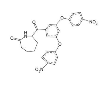 O=C1CCCCC(C(=O)c2cc(Oc3ccc([N+](=O)[O-])cc3)cc(Oc3ccc([N+](=O)[O-])cc3)c2)N1